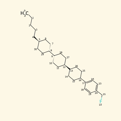 CCCCC[C@H]1CC[C@H]([C@H]2CC[C@H](C3CCC(c4ccc(CF)cc4)CC3)CC2)CC1